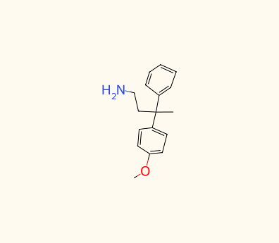 COc1ccc(C(C)(CCN)c2ccccc2)cc1